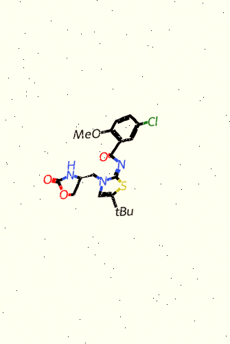 COc1ccc(Cl)cc1C(=O)N=c1sc(C(C)(C)C)cn1C[C@H]1COC(=O)N1